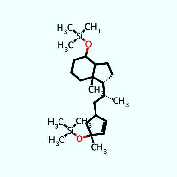 C[C@H](C[C@H]1C=C[C@](C)(O[Si](C)(C)C)C1)[C@H]1CCC2C(O[Si](C)(C)C)CCC[C@]21C